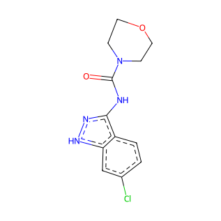 O=C(Nc1n[nH]c2cc(Cl)ccc12)N1CCOCC1